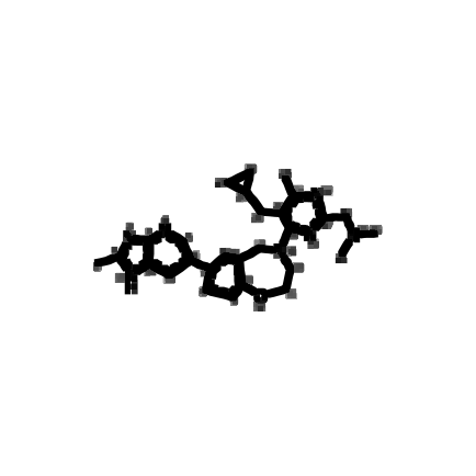 Cc1nc2ncc(-c3ccc4c(c3)CN(c3nc(CN(C)C)nc(C)c3CC3CC3)CCO4)cc2[nH]1